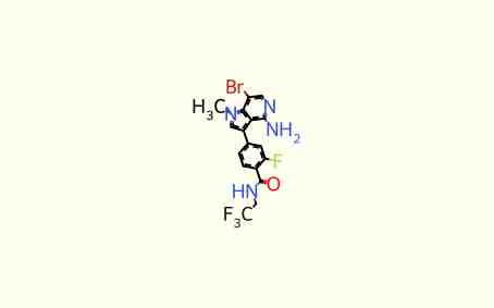 Cn1cc(-c2ccc(C(=O)NCC(F)(F)F)c(F)c2)c2c(N)ncc(Br)c21